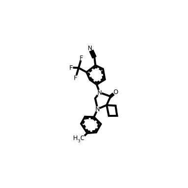 Cc1ccc(N2CN(c3ccc(C#N)c(C(F)(F)F)c3)C(=O)C23CCC3)cc1